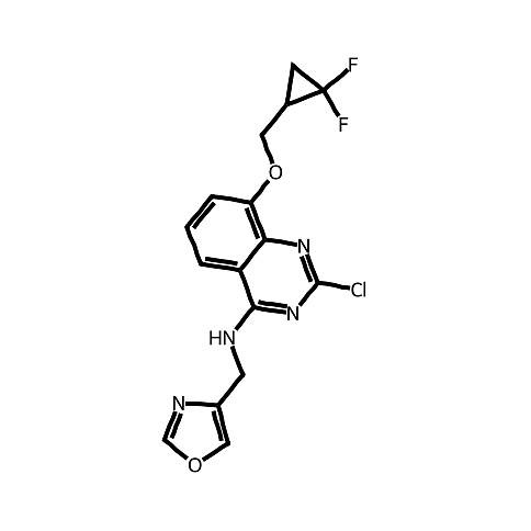 FC1(F)CC1COc1cccc2c(NCc3cocn3)nc(Cl)nc12